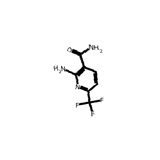 NC(=O)c1ccc(C(F)(F)F)nc1N